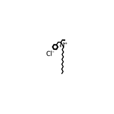 C=CC(Cc1ccccc1)[N+](C)(C)CCCCCCCCCCCC.[Cl-]